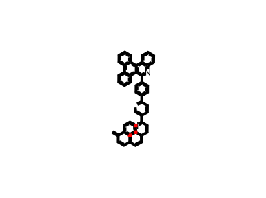 C=C(/C=C\C1=C(C)C2N=C(C(/C=C\C(=C)c3ccc(-c4nc5ccccc5c5c6ccccc6c6ccccc6c45)cc3)=C/C)C=CC2C=C1)c1ccccc1